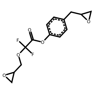 O=C(Oc1ccc(CC2CO2)cc1)C(F)(F)OCC1CO1